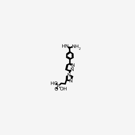 N=C(N)c1ccc(-c2ccc(-n3cnc(CCP(=O)(O)O)c3)nn2)cc1